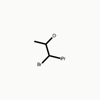 CC(C)C(Br)C(C)[O]